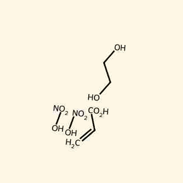 C=CC(=O)O.O=[N+]([O-])O.O=[N+]([O-])O.OCCO